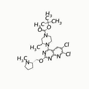 C[C@H]1CN(C(=O)OC(C)(C)C)CCN1c1nc(OC[C@@H]2CCCN2C)nc2nc(Cl)c(Cl)cc12